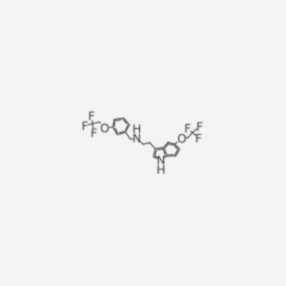 FC(F)(F)COc1cccc(CNCCc2c[nH]c3ccc(OCC(F)(F)F)cc23)c1